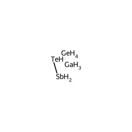 [GaH3].[GeH4].[SbH2][TeH]